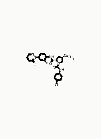 CO[C@@H]1C[C@H](C(=O)Nc2ccc(-n3ncccc3=O)cc2F)N(C(=O)Nc2ccc(Cl)cc2)C1